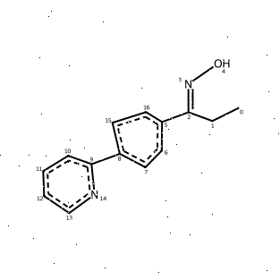 CCC(=NO)c1ccc(-c2ccccn2)cc1